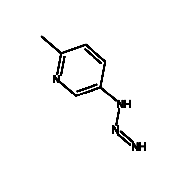 Cc1ccc(NN=N)cn1